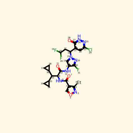 CCc1nocc1C(=O)NC(C(=O)Nc1cn(C(CC(F)F)c2cc(Cl)n[nH]c2=O)nc1F)C(C1CC1)C1CC1